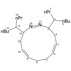 CCCCC(CCC)C1CC=CCCC=CCC(C(CCC)CCCC)N=N1